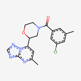 Cc1cc(Cl)cc(C(=O)N2CCOC(c3cc(C)nc4ncnn34)C2)c1